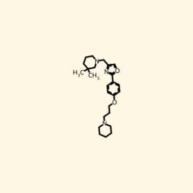 CC1(C)CCCN(Cc2coc(-c3ccc(OCCCN4CCCCC4)cc3)n2)C1